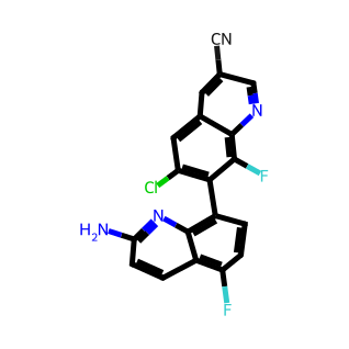 N#Cc1cnc2c(F)c(-c3ccc(F)c4ccc(N)nc34)c(Cl)cc2c1